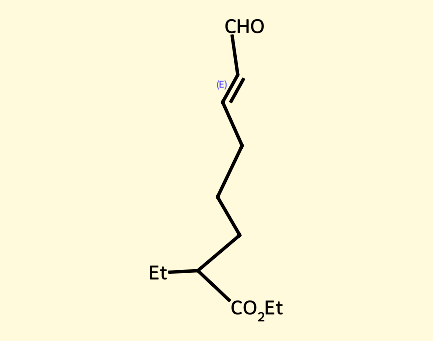 CCOC(=O)C(CC)CCC/C=C/C=O